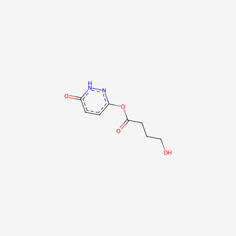 O=C(CCCO)Oc1ccc(=O)[nH]n1